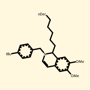 CCCCCCCCCCCCCCCC1c2cc(OC)c(OC)cc2C=CN1Cc1ccc(C(C)(C)C)cc1